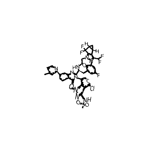 Cc1ccnc(-c2ccc3c(=O)n(-c4ccc(Cl)c5c(NS(C)(=O)=O)nn(C)c45)c([C@H](Cc4cc(F)cc(F)c4)NC(=O)Cn4nc(C(F)F)c5c4C(F)(F)[C@@H]4C[C@H]54)nc3c2)c1